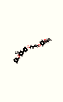 CCc1cc(-c2ccc(OCCCCCCOc3ccc(O[Si](C)(C)C(C)(C)C)cc3)cc2)ccc1OCc1ccccc1